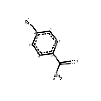 BC(=O)c1ccc(Br)cc1